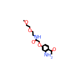 COCCOCCNC(=O)COc1ccc(C(C)=O)c(N)c1